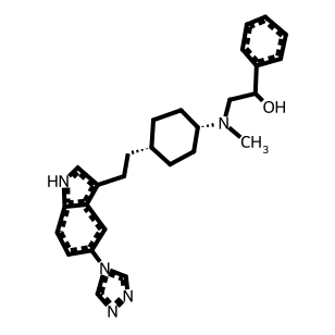 CN(CC(O)c1ccccc1)[C@H]1CC[C@@H](CCc2c[nH]c3ccc(-n4cnnc4)cc23)CC1